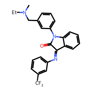 CCN(C)Cc1cccc(N2C(=O)C(=Nc3cccc(C(F)(F)F)c3)c3ccccc32)c1